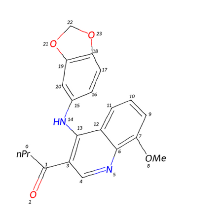 CCCC(=O)c1cnc2c(OC)cccc2c1Nc1ccc2c(c1)OCO2